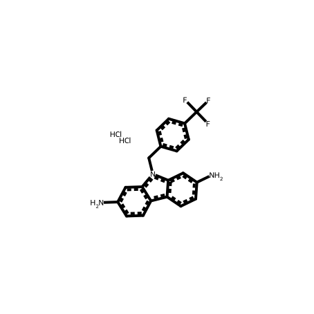 Cl.Cl.Nc1ccc2c3ccc(N)cc3n(Cc3ccc(C(F)(F)F)cc3)c2c1